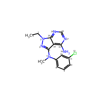 CCn1nc(N(C)c2cccc(Cl)c2)c2c(N)ncnc21